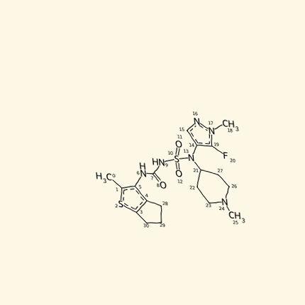 Cc1sc2c(c1NC(=O)NS(=O)(=O)N(c1cnn(C)c1F)C1CCN(C)CC1)CCC2